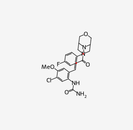 COc1cc(C=CC(=O)N2CC3COCC(C2)N3Cc2ccc(F)cc2)c(NC(N)=O)cc1Cl